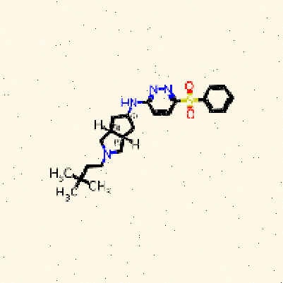 CC(C)(C)CCN1C[C@H]2C[C@H](Nc3ccc(S(=O)(=O)c4ccccc4)nn3)C[C@H]2C1